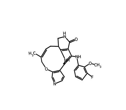 COc1c(F)cccc1Nc1c2[nH]c3c1C(=O)NCC3CC=C(C)COc1cnccc1-2